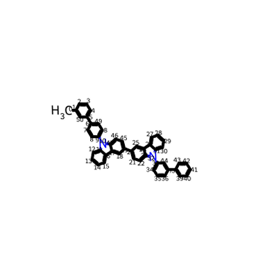 Cc1cccc(-c2ccc(-n3c4ccccc4c4cc(-c5ccc6c(c5)c5ccccc5n6-c5cccc(-c6ccccc6)c5)ccc43)cc2)c1